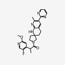 COc1cc(C(C)C(=O)N2CCC3(CCc4cc(-c5ncccn5)c(C)nc4N3)C2)c(F)cn1